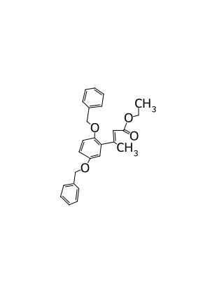 CCOC(=O)C=C(C)c1cc(OCc2ccccc2)ccc1OCc1ccccc1